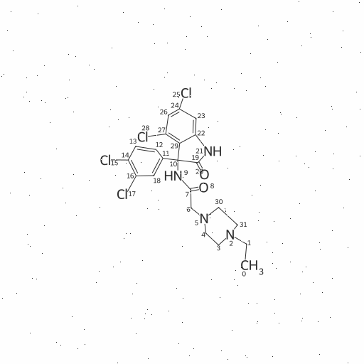 CCN1CCN(CC(=O)NC2(c3ccc(Cl)c(Cl)c3)C(=O)Nc3cc(Cl)cc(Cl)c32)CC1